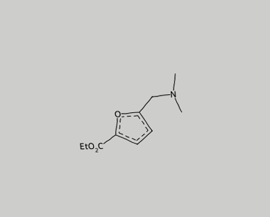 CCOC(=O)c1ccc(CN(C)C)o1